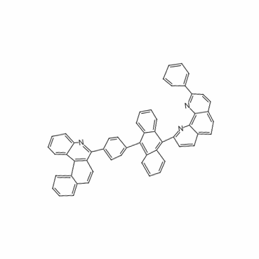 c1ccc(-c2ccc3ccc4ccc(-c5c6ccccc6c(-c6ccc(-c7nc8ccccc8c8c7ccc7ccccc78)cc6)c6ccccc56)nc4c3n2)cc1